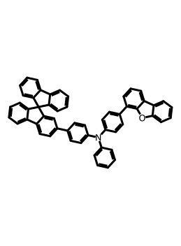 c1ccc(N(c2ccc(-c3ccc4c(c3)C3(c5ccccc5-c5ccccc53)c3ccccc3-4)cc2)c2ccc(-c3cccc4c3oc3ccccc34)cc2)cc1